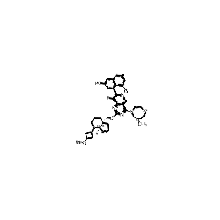 COC1CC(N2CCC[C@@]3(COc4nc(N5CCOC[C@@H](C)C5)c5cnc(-c6cc(O)cc7cccc(Cl)c67)c(F)c5n4)CCC[C@@H]23)C1